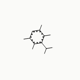 CC(C)c1c(F)c(F)cc(F)c1F